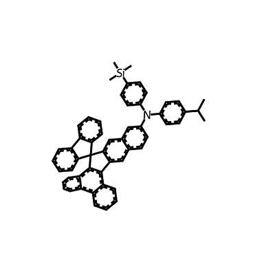 CC(C)c1ccc(N(c2ccc([Si](C)(C)C)cc2)c2ccc3cc4c(cc3c2)C2(c3ccccc3-c3ccccc32)c2c-4c3ccccc3c3ccccc23)cc1